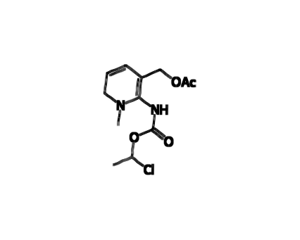 CC(=O)OCC1=C(NC(=O)OC(C)Cl)N(C)CC=C1